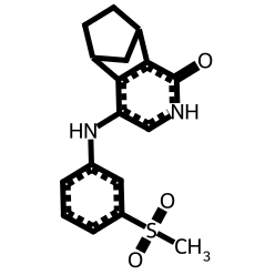 CS(=O)(=O)c1cccc(Nc2c[nH]c(=O)c3c2C2CCC3C2)c1